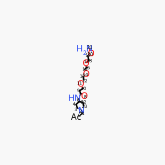 CC(=O)CN1CCC(NC(=O)CCOCCOCCOCCON)CC1